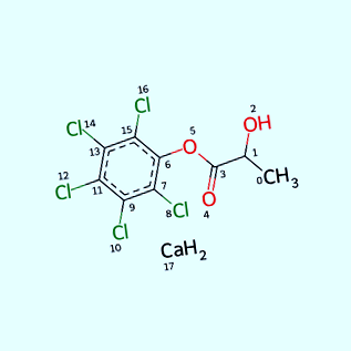 CC(O)C(=O)Oc1c(Cl)c(Cl)c(Cl)c(Cl)c1Cl.[CaH2]